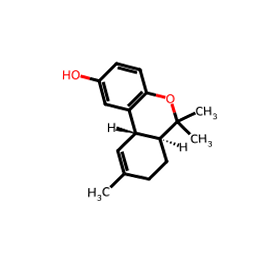 CC1=C[C@@H]2c3cc(O)ccc3OC(C)(C)[C@H]2CC1